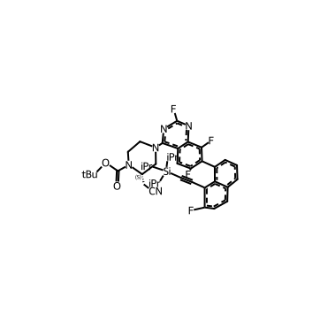 CC(C)[Si](C#Cc1c(F)ccc2cccc(-c3c(F)cc4c(N5CCN(C(=O)OC(C)(C)C)[C@@H](CC#N)C5)nc(F)nc4c3F)c12)(C(C)C)C(C)C